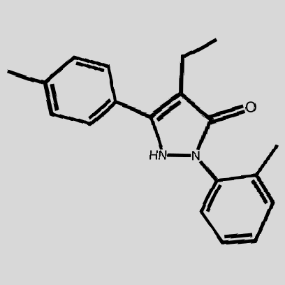 CCc1c(-c2ccc(C)cc2)[nH]n(-c2ccccc2C)c1=O